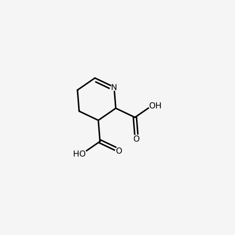 O=C(O)C1CCC=NC1C(=O)O